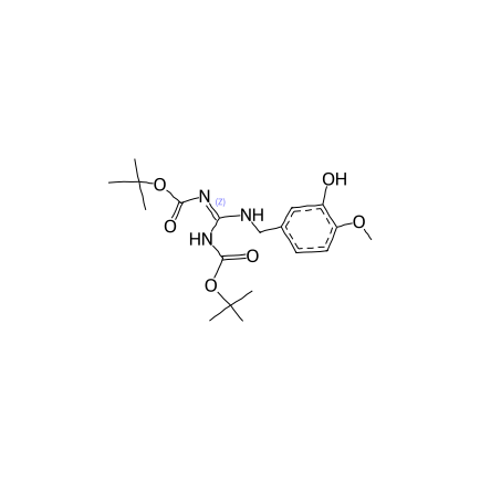 COc1ccc(CN/C(=N/C(=O)OC(C)(C)C)NC(=O)OC(C)(C)C)cc1O